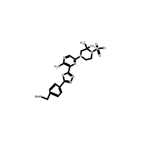 CCS(=O)(=O)N1CCN(c2cnc(N)c(-c3nnc(-c4ccc(CNC)cc4)o3)n2)CC1(C)C